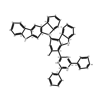 Cc1cc(-n2c3ccccc3c3cc4c(cc32)sc2ccccc24)c2c(oc3ccccc32)c1-c1nc(-c2ccccc2)nc(-c2ccccc2)n1